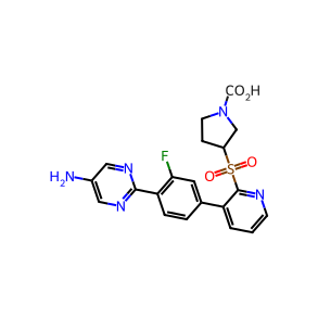 Nc1cnc(-c2ccc(-c3cccnc3S(=O)(=O)C3CCN(C(=O)O)C3)cc2F)nc1